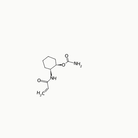 C=CC(=O)N[C@H]1CCCC[C@H]1OC(N)=O